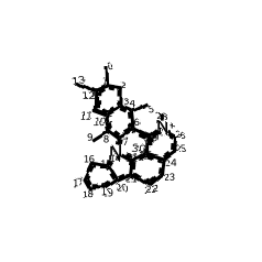 Cc1cc2c(C)c3c(c(C)c2cc1C)n1c2ccccc2c2ccc4cc[n+](C)c3c4c21